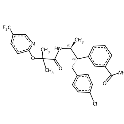 C[C@H](NC(=O)C(C)(C)Oc1ccc(C(F)(F)F)cn1)[C@@H](Cc1ccc(Cl)cc1)c1cccc(C(N)=O)c1